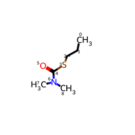 CC[CH]SC(=O)N(C)C